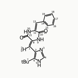 [2H]/C(c1nc[nH]c1C(C)(C)C)=c1/[nH]c(=O)c(=Cc2ccccc2)[nH]c1=O